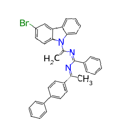 C=C(/N=C(\N=C(/C)c1ccc(-c2ccccc2)cc1)c1ccccc1)n1c2ccccc2c2cc(Br)ccc21